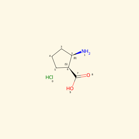 Cl.N[C@@H]1CCC[C@@H]1C(=O)O